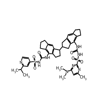 Cc1cc(N(C)C)nc(S(=O)(=O)NC(=O)Nc2c3c(cc4c2CC(C2CCc5c2cc2c(c5NC(=O)NS(=O)(=O)c5ccnc(C(C)C)c5)CCC2)C4)CCC3)n1